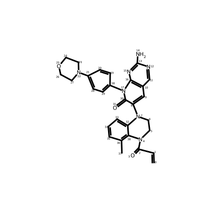 C=CC(=O)N1CCN(c2cc3cnc(N)nc3n(-c3ccc(N4CCOCC4)cc3)c2=O)c2cccc(C)c21